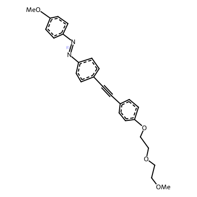 COCCOCCOc1ccc(C#Cc2ccc(/N=N/c3ccc(OC)cc3)cc2)cc1